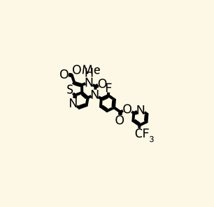 COC(=O)c1sc2nccc3c2c1NC(=O)N3c1ccc(C(=O)Oc2cc(C(F)(F)F)ccn2)cc1F